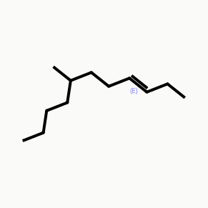 CC/C=C/CCC(C)CCCC